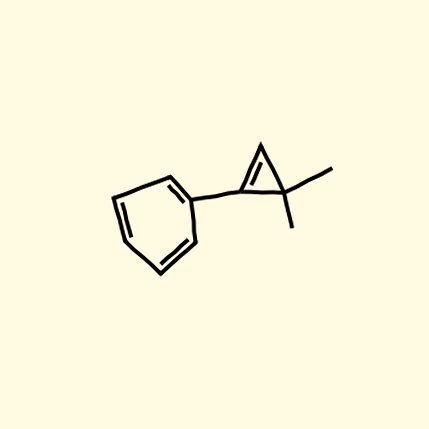 CC1(C)C=C1c1ccccc1